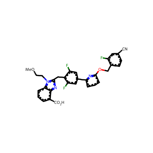 COCCn1c(Cc2c(F)cc(-c3cccc(OCc4ccc(C#N)cc4F)n3)cc2F)nc2c(C(=O)O)cccc21